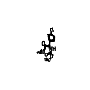 CCCCC(=O)[C@H](NC(=O)OC(C)(C)C)c1ccc(Cl)cc1